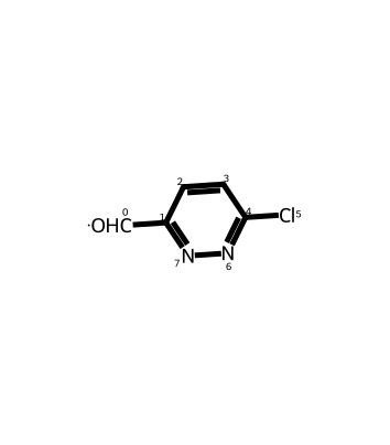 O=[C]c1ccc(Cl)nn1